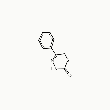 O=C1NN=C(c2ccccc2)CS1